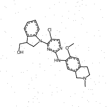 COc1cc2c(cc1Nc1ncc(Cl)c(N3CC(CO)c4ccccc43)n1)CN(C)CC2